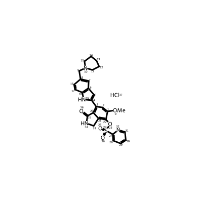 COc1cc(-c2cc3cc(CN4CCCCC4)ccc3[nH]2)c2c(c1OS(=O)(=O)c1ccccn1)CNC2=O.Cl